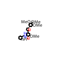 CCCOc1c(NCc2ccccc2)cc(C2CC[C@@H](c3cc(OC)c(OC)c(OC)c3)O2)cc1OC